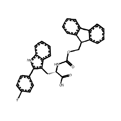 O=C(N[C@@H](Cc1c(-c2ccc(F)cc2)[nH]c2ccccc12)C(=O)O)OCC1c2ccccc2-c2ccccc21